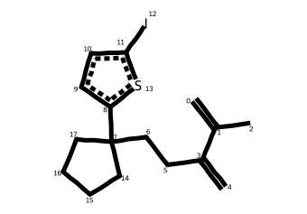 C=C(C)C(=C)CCC1(c2ccc(I)s2)CCCC1